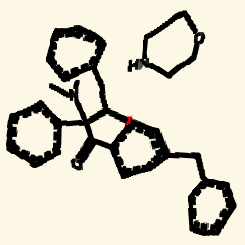 C1COCCN1.CC(Cc1ccccc1)C(C(=O)c1ccc(Cc2ccccc2)cc1)(c1ccccc1)N(C)C